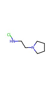 ClNCCN1CCCC1